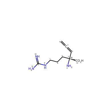 C=C=C[C@](N)(CCCNC(=N)N)C(=O)O